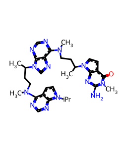 CC(C)n1ccc2c(N(C)CCC(C)n3cnc4c(N(C)CCC(C)n5ccc6c(=O)n(C)c(N)nc65)ncnc43)ncnc21